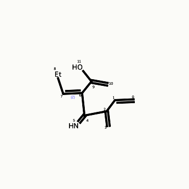 C=CC(=C)C(=N)/C(=C/CC)C(=C)O